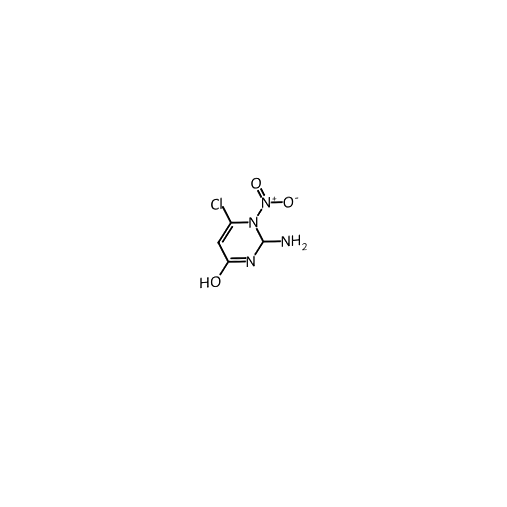 NC1N=C(O)C=C(Cl)N1[N+](=O)[O-]